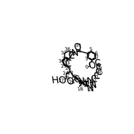 COc1cc2ccc1CCCCCn1nnc3c(C)c(cnc31)C(CC(=O)O)c1ccc3c(c1)CN(CC3)C2=O